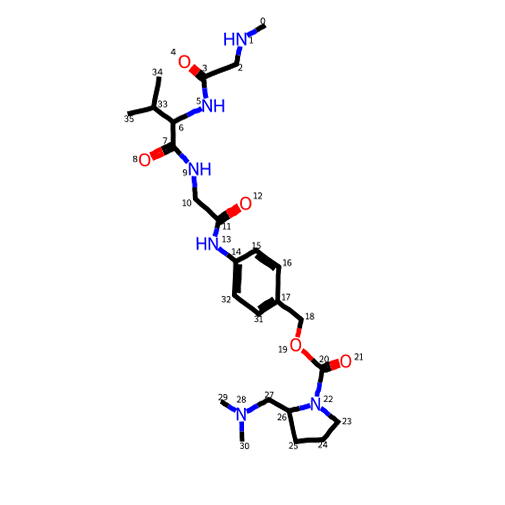 CNCC(=O)NC(C(=O)NCC(=O)Nc1ccc(COC(=O)N2CCCC2CN(C)C)cc1)C(C)C